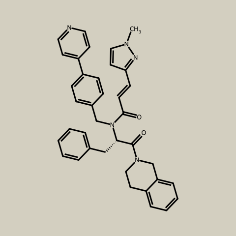 Cn1ccc(/C=C/C(=O)N(Cc2ccc(-c3ccncc3)cc2)[C@@H](Cc2ccccc2)C(=O)N2CCc3ccccc3C2)n1